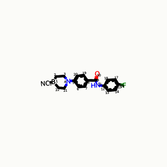 N#CB1CCN(c2ccc(C(=O)Nc3ccc(F)cc3)cc2)CC1